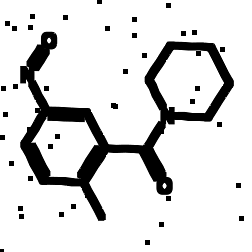 Cc1ccc(N=O)cc1C(=O)N1CCCCC1